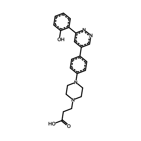 O=C(O)CCN1CCN(c2ccc(-c3cnnc(-c4ccccc4O)c3)cc2)CC1